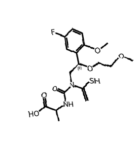 C=C(S)N(C[C@H](OCCOC)c1cc(F)ccc1OC)C(=O)NC(C)C(=O)O